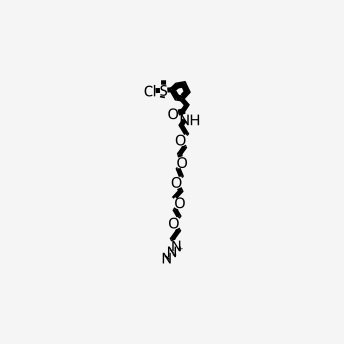 CS(C)(Cl)c1cccc(CC(=O)NCCOCCOCCOCCOCCOCCN=[N+]=[N-])c1